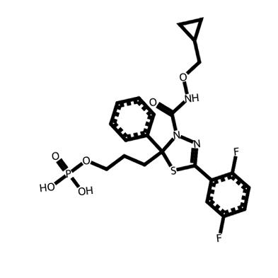 O=C(NOCC1CC1)N1N=C(c2cc(F)ccc2F)SC1(CCCOP(=O)(O)O)c1ccccc1